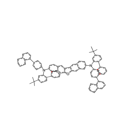 CC(C)(C)c1ccc(-c2ccccc2)c(N(c2ccc(-c3cccc4ccccc34)cc2)c2ccc3cc4c(cc3c2)oc2cc3cc(N(c5ccc(-c6cccc7ccccc67)cc5)c5cc(C(C)(C)C)ccc5-c5ccccc5)ccc3cc24)c1